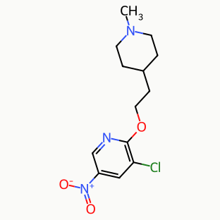 CN1CCC(CCOc2ncc([N+](=O)[O-])cc2Cl)CC1